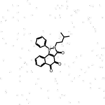 CC(C)CCn1c(=O)c2c(n1-c1ccccc1)-c1ccccc1C(=O)C2=O